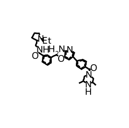 CCN1CCCC1CNC(=O)c1cccc(COc2cc(-c3ccc(C(=O)N4CC(C)NC(C)C4)cc3)cnc2N)c1